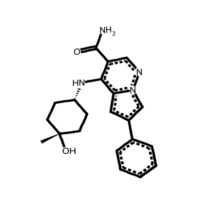 C[C@]1(O)CC[C@@H](Nc2c(C(N)=O)cnn3cc(-c4ccccc4)cc23)CC1